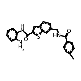 Cc1ccc(C(=O)NCc2ccc3cc(C(=O)Nc4ccccc4N)sc3c2)cc1